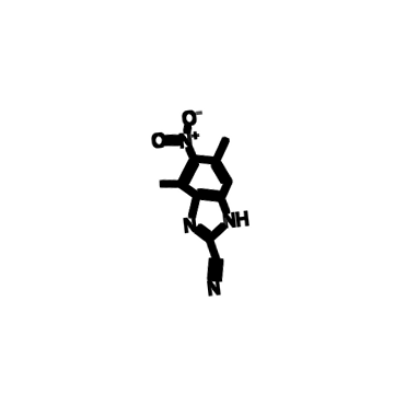 Cc1cc2[nH]c(C#N)nc2c(C)c1[N+](=O)[O-]